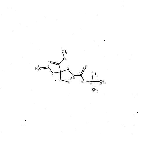 C=CCC1(C(=O)OC)CCN(C(=O)OC(C)(C)C)C1